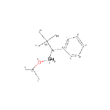 CC(C)O[SiH2]C(c1ccccc1)C(C)(C)C